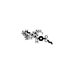 CCCCOC(=O)c1ccc(Nc2nc(N)nc(NCC(C)[SiH](O[Si](C)(C)C)O[Si](C)(C)C)n2)cc1